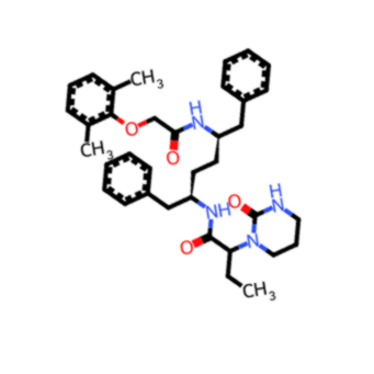 CCC(C(=O)N[C@H](CC[C@H](Cc1ccccc1)NC(=O)COc1c(C)cccc1C)Cc1ccccc1)N1CCCNC1=O